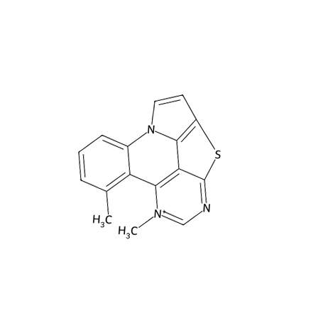 Cc1cccc2c1c1c3c(nc[n+]1C)sc1ccn2c13